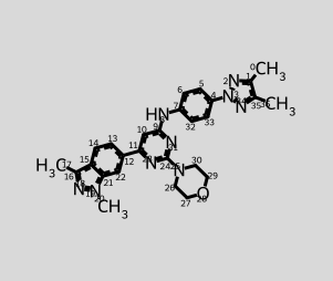 Cc1nn(-c2ccc(Nc3cc(-c4ccc5c(C)nn(C)c5c4)nc(N4CCOCC4)n3)cc2)nc1C